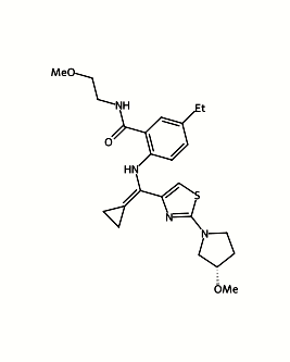 CCc1ccc(NC(=C2CC2)c2csc(N3CC[C@H](OC)C3)n2)c(C(=O)NCCOC)c1